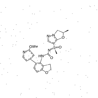 COc1cc(-c2ccc3c(c2NC(=O)N=[S@@](C)(=O)c2cnn4c2O[C@H](C)C4)CCO3)ccn1